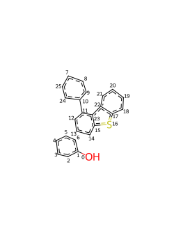 Oc1ccccc1.c1ccc(-c2cccc3sc4ccccc4c23)cc1